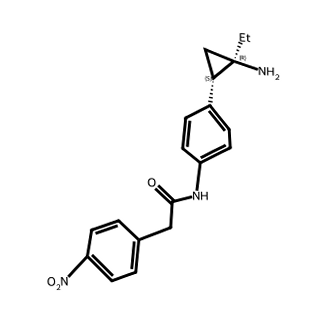 CC[C@@]1(N)C[C@H]1c1ccc(NC(=O)Cc2ccc([N+](=O)[O-])cc2)cc1